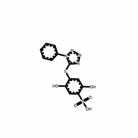 O=S(=O)(O)c1cc(O)c(Sc2nnnn2-c2ccccc2)cc1O